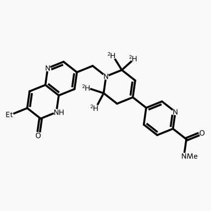 [2H]C1([2H])C=C(c2ccc(C(=O)NC)nc2)CC([2H])([2H])N1Cc1cnc2cc(CC)c(=O)[nH]c2c1